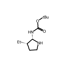 CC[C@H]1CCN[C@H]1NC(=O)OC(C)(C)C